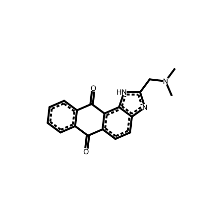 CN(C)Cc1nc2ccc3c(c2[nH]1)C(=O)c1ccccc1C3=O